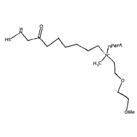 CCCCC[N+](C)(CCCCCCC(=O)CNS)CCOCCOC